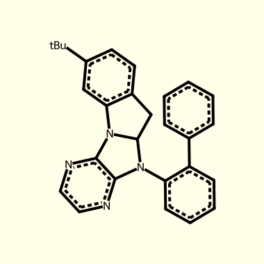 CC(C)(C)c1ccc2c(c1)N1c3nccnc3N(c3ccccc3-c3ccccc3)C1C2